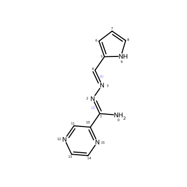 N/C(=N\N=C\c1ccc[nH]1)c1cnccn1